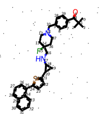 CC(C)(C)C(=O)c1ccc(CN2CCC(F)(CNC3CC3c3ccc(-c4cccc5ccccc45)s3)CC2)cc1